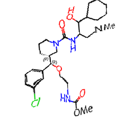 CNCC(NC(=O)N1CCC[C@@H]([C@@H](OCCNC(=O)OC)c2cccc(Cl)c2)C1)C(O)C1CCCCC1